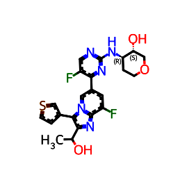 CC(O)c1nc2c(F)cc(-c3nc(N[C@@H]4CCOC[C@H]4O)ncc3F)cn2c1-c1ccsc1